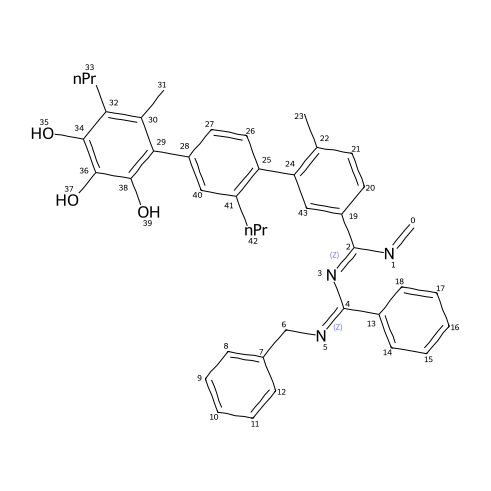 C=N/C(=N\C(=N/Cc1ccccc1)c1ccccc1)c1ccc(C)c(-c2ccc(-c3c(C)c(CCC)c(O)c(O)c3O)cc2CCC)c1